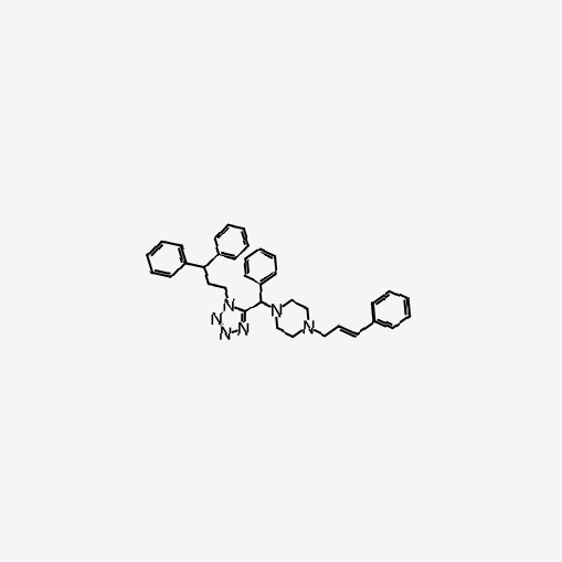 C(=Cc1ccccc1)CN1CCN(C(c2ccccc2)c2nnnn2CCC(c2ccccc2)c2ccccc2)CC1